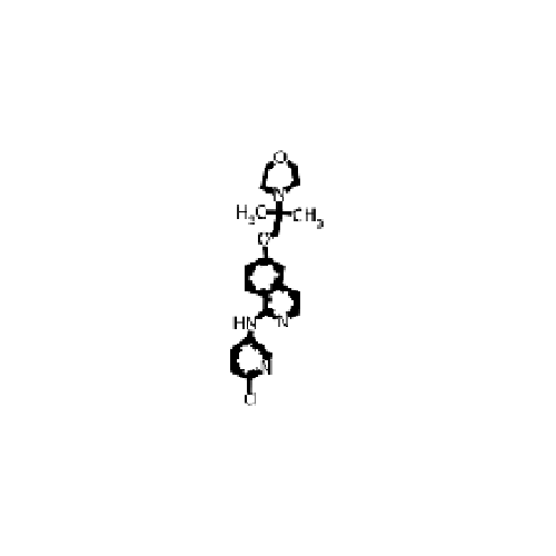 CC(C)(COc1ccc2c(Nc3ccc(Cl)nc3)nccc2c1)N1CCOCC1